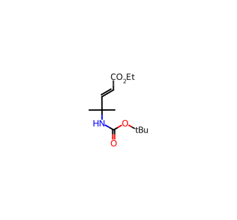 CCOC(=O)C=CC(C)(C)NC(=O)OC(C)(C)C